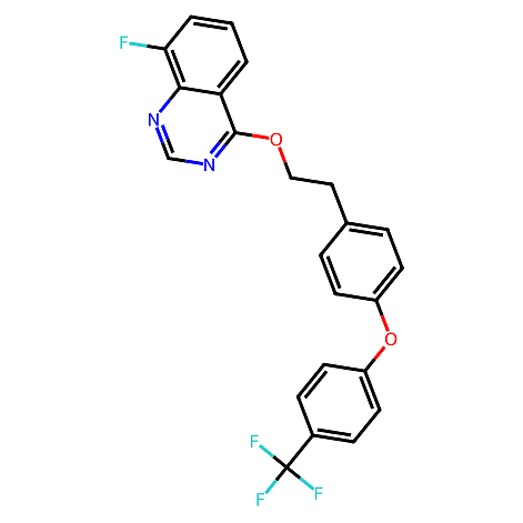 Fc1cccc2c(OCCc3ccc(Oc4ccc(C(F)(F)F)cc4)cc3)ncnc12